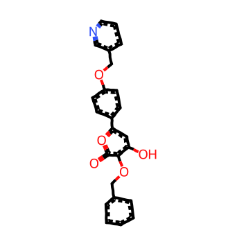 O=c1oc(-c2ccc(OCc3cccnc3)cc2)cc(O)c1OCc1ccccc1